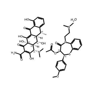 COc1ccc([C@@H]2Sc3ccccc3N(CCN(C)C)C(=O)[C@@H]2OC(C)=O)cc1.C[C@H]1c2cccc(O)c2C(=O)C2=C(O)[C@]3(O)C(=O)C(C(N)=O)=C(O)[C@@H](N(C)C)[C@@H]3[C@@H](O)[C@@H]21.O